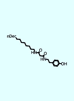 CCCCCCCCCCCCCCCCCCNC(=O)CC(=O)NCCc1ccc(O)cc1